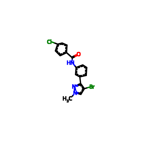 Cn1cc(Br)c(-c2cccc(NC(=O)c3ccc(Cl)cc3)c2)n1